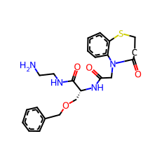 NCCNC(=O)[C@@H](COCc1ccccc1)NC(=O)CN1C(=O)CCSc2ccccc21